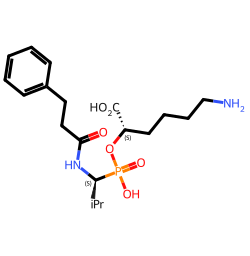 CC(C)[C@@H](NC(=O)CCc1ccccc1)P(=O)(O)O[C@@H](CCCCN)C(=O)O